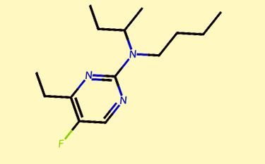 CCCCN(c1ncc(F)c(CC)n1)C(C)CC